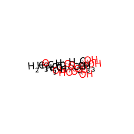 C=C1C=C([C@H]2CC[C@]3(O)C4CC[C@H]5C[C@@H](O[C@H]6C[C@H](O)[C@H](O[C@H]7C[C@H](O)C(OC8C[C@H](O)[C@H](O)[C@@H](C)O8)[C@@H](C)O7)[C@@H](C)O6)CC[C@]5(C)[C@H]4CC[C@]23C)CO1